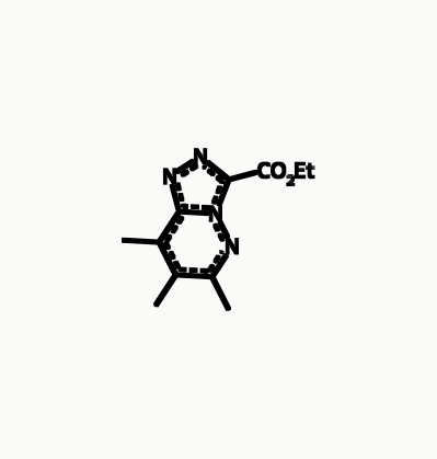 CCOC(=O)c1nnc2c(C)c(C)c(C)nn12